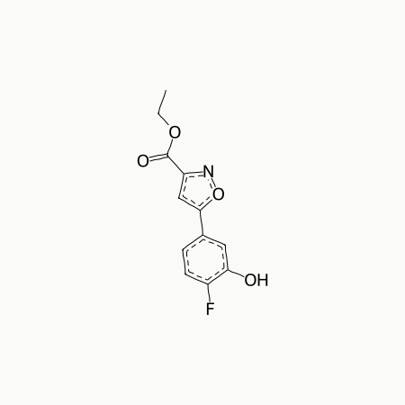 CCOC(=O)c1cc(-c2ccc(F)c(O)c2)on1